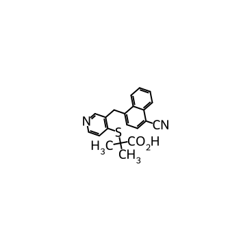 CC(C)(Sc1ccncc1Cc1ccc(C#N)c2ccccc12)C(=O)O